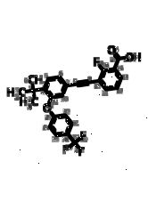 CC(C)(C)c1ccc(C#Cc2cccc(C(=O)O)c2F)cc1Oc1ccc(C(F)(F)F)cc1